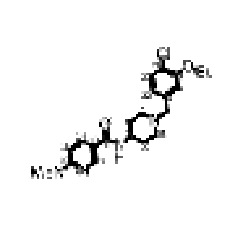 CCOc1cc(CN2CCC(NC(=O)c3ccc(NC)nc3)CC2)ccc1Cl